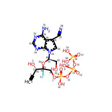 C#C[C@H](O)[C@@](F)(COP(=O)(O)OP(=O)(O)OP(=O)(O)O)O[C@H](CO)n1cc(C#N)c2c(N)ncnc21